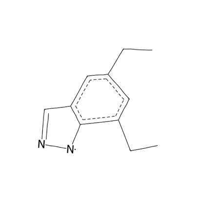 CCc1cc2c(c(CC)c1)[N]N=C2